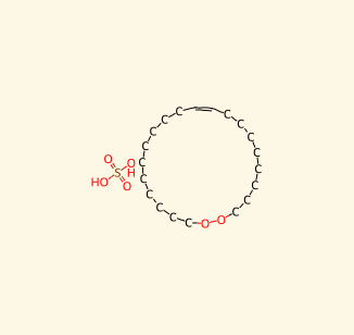 C1=CCCCCCCCCOOCCCCCCCCCC1.O=S(=O)(O)O